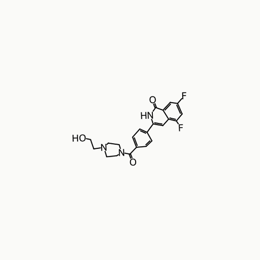 O=C(c1ccc(-c2cc3c(F)cc(F)cc3c(=O)[nH]2)cc1)N1CCN(CCO)CC1